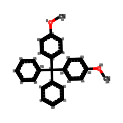 N#COc1ccc(C(c2ccccc2)(c2ccccc2)c2ccc(OC#N)cc2)cc1